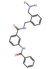 CCN(CC)Cc1ccccc1CNC(=O)c1cccc(NC(=O)c2ccccc2)c1